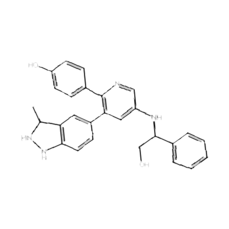 CC1NNc2ccc(-c3cc(NC(CO)c4ccccc4)cnc3-c3ccc(O)cc3)cc21